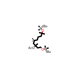 CC(=O)OC(C)(CCO[Si](C)(C)C(C)(C)C)C[C@@H](C)CCCC(C)(C)O[Si](C)(C)C(C)(C)C